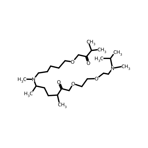 CC(C)C(=O)COCCCCCN(C)C(C)CCC(C)C(=O)COCCOCCN(C)C(C)C